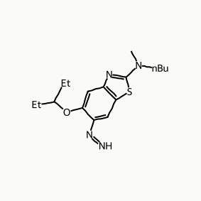 CCCCN(C)c1nc2cc(OC(CC)CC)c(N=N)cc2s1